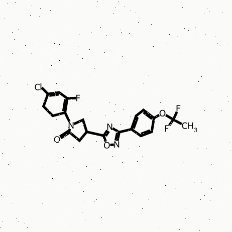 CC(F)(F)Oc1ccc(-c2noc(C3CC(=O)N(C4=C(F)C=C(Cl)CC4)C3)n2)cc1